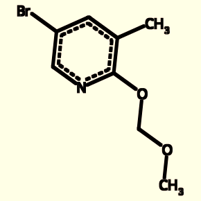 COCOc1ncc(Br)cc1C